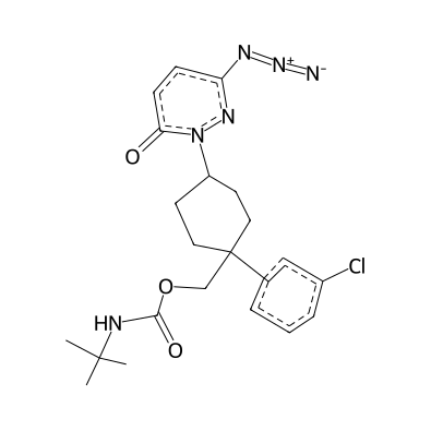 CC(C)(C)NC(=O)OCC1(c2cccc(Cl)c2)CCC(n2nc(N=[N+]=[N-])ccc2=O)CC1